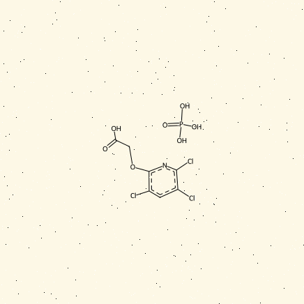 O=C(O)COc1nc(Cl)c(Cl)cc1Cl.O=P(O)(O)O